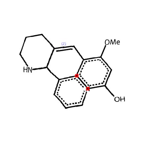 COc1cc(O)ccc1/C=C1/CCCNC1c1cccnc1